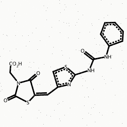 O=C(O)CN1C(=O)S/C(=C/c2csc(NC(=O)Nc3ccccc3)n2)C1=O